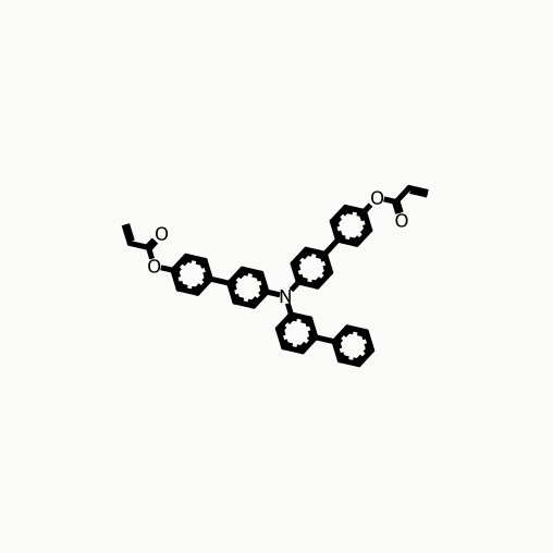 C=CC(=O)Oc1ccc(-c2ccc(N(c3ccc(-c4ccc(OC(=O)C=C)cc4)cc3)c3cccc(-c4ccccc4)c3)cc2)cc1